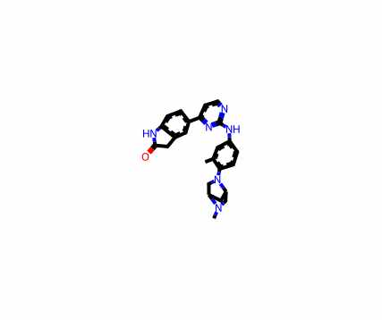 Cc1cc(Nc2nccc(-c3ccc4c(c3)CC(=O)N4)n2)ccc1N1CC2CC1CN2C